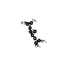 Cc1ccc2c(c1)c1cc(C)ccc1n2-c1ccc(-c2ccc3c4ccc(-c5ccc(-n6c7ccc(C)cc7c7cc(C)ccc76)cc5)c5c4n(c3c2)-c2ccccc2O5)cc1